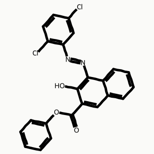 O=C(Oc1ccccc1)c1cc2ccccc2c(N=Nc2cc(Cl)ccc2Cl)c1O